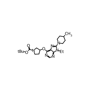 CCn1c(N2CCC(C)CC2)nc2c(OC3CCN(C(=O)OC(C)(C)C)C3)ncnc21